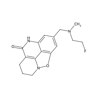 CN(CCF)Cc1cc2c3c4c(c(=O)[nH]c3c1)CCCN4O2